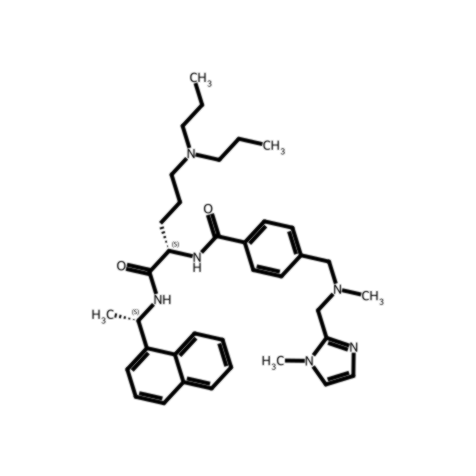 CCCN(CCC)CCC[C@H](NC(=O)c1ccc(CN(C)Cc2nccn2C)cc1)C(=O)N[C@@H](C)c1cccc2ccccc12